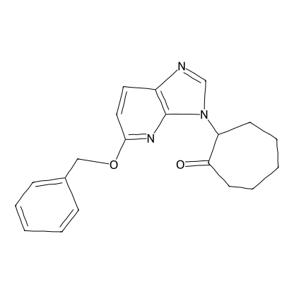 O=C1CCCCCC1n1cnc2ccc(OCc3ccccc3)nc21